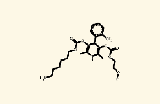 CCOCCOC(=O)OC1=C(C)NC(C)=C(OC(=O)OCCCCCCN)C1c1ccccc1C(F)(F)F